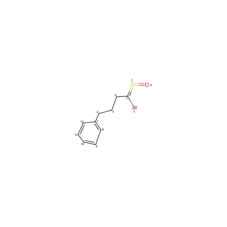 O=S=C(Br)CCCc1ccccc1